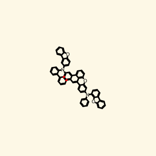 c1ccc(-c2ccccc2N(c2ccc3cc4c5c(cccc5c3c2)Oc2cc(N(c3ccccc3)c3cccc5c3oc3ccccc35)ccc2-4)c2ccc3oc4ccccc4c3c2)cc1